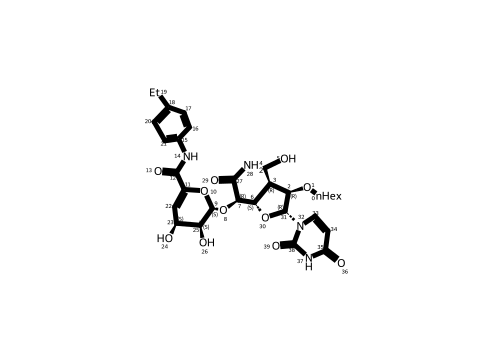 CCCCCCO[C@@H]1[C@H](CO)[C@@H]([C@@H](O[C@H]2OC(C(=O)Nc3ccc(CC)cc3)=C[C@H](O)[C@@H]2O)C(N)=O)O[C@H]1n1ccc(=O)[nH]c1=O